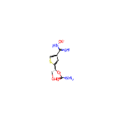 N=C(NO)c1csc([C@@H](CO)OC(N)=O)c1